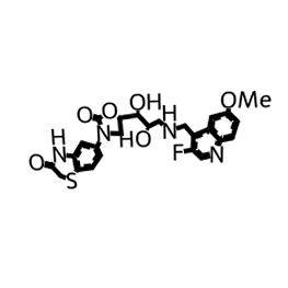 COc1ccc2ncc(F)c(CNC[C@@H](O)[C@H](O)C3CN(c4ccc5c(c4)NC(=O)CS5)C(=O)O3)c2c1